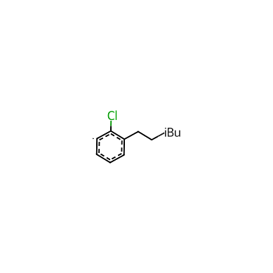 CCC(C)CCc1ccc[c]c1Cl